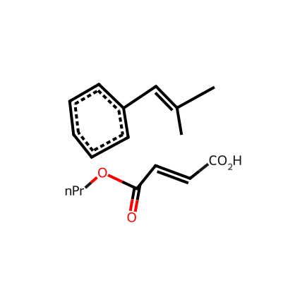 CC(C)=Cc1ccccc1.CCCOC(=O)C=CC(=O)O